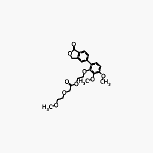 COCCOCC(=O)OCCOc1c(-c2ccc3c(c2)COC3=O)ccc(OC)c1OC